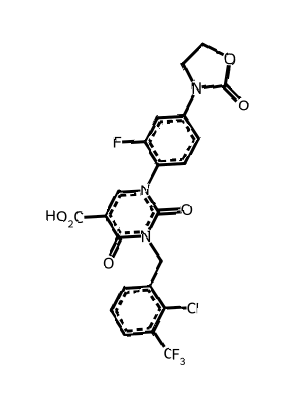 O=C(O)c1cn(-c2ccc(N3CCOC3=O)cc2F)c(=O)n(Cc2cccc(C(F)(F)F)c2Cl)c1=O